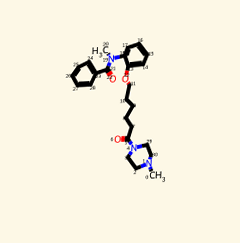 CN1CCN(C(=O)CCCCCOc2ccccc2N(C)C(=O)c2ccccc2)CC1